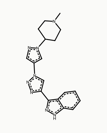 CN1CCC(n2cc(-n3cc(-c4n[nH]c5ccccc45)nn3)cn2)CC1